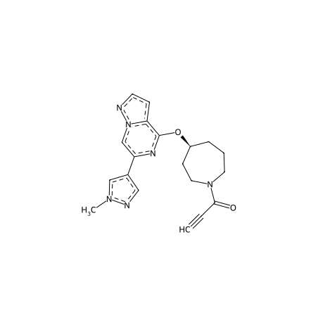 C#CC(=O)N1CCC[C@H](Oc2nc(-c3cnn(C)c3)cn3nccc23)CC1